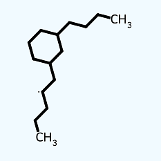 CCC[CH]CC1CCCC(CCCC)C1